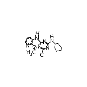 COc1ncccc1Nc1nc(Cl)nc(NC2CCCCC2)n1